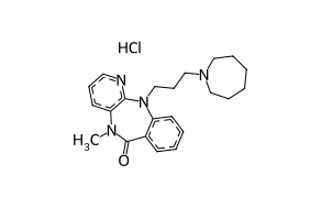 CN1C(=O)c2ccccc2N(CCCN2CCCCCC2)c2ncccc21.Cl